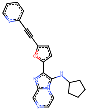 C(#Cc1ccc(-c2nc3cnccn3c2NC2CCCC2)o1)c1ccccn1